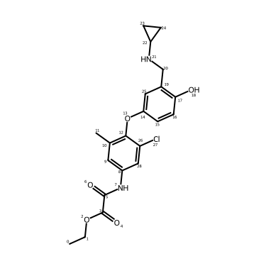 CCOC(=O)C(=O)Nc1cc(C)c(Oc2ccc(O)c(CNC3CC3)c2)c(Cl)c1